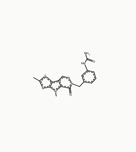 Cc1nc2c(s1)c1cnn(Cc3cccc(NC(N)=O)c3)c(=O)c1n2C